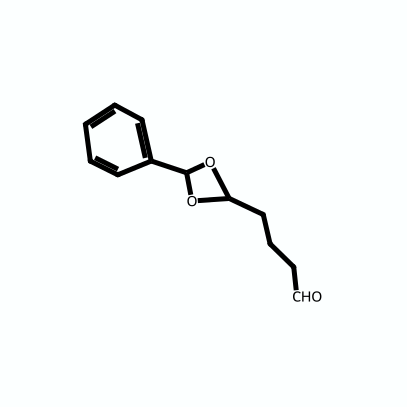 O=CCCCC1OC(c2ccccc2)O1